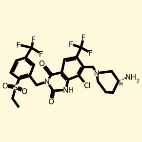 CCS(=O)(=O)c1ccc(C(F)(F)F)cc1Cn1c(=O)[nH]c2c(Cl)c(CN3CCC[C@@H](N)C3)c(C(F)(F)F)cc2c1=O